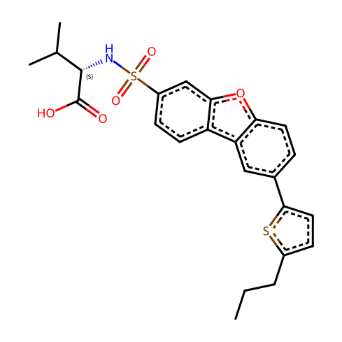 CCCc1ccc(-c2ccc3oc4cc(S(=O)(=O)N[C@H](C(=O)O)C(C)C)ccc4c3c2)s1